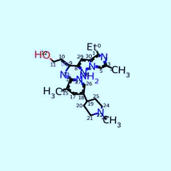 CCc1nc(C)cn2nc(C(=C/CO)/N=c3/c(C)cc(C4CCN(C)CC4)cn3N)cc12